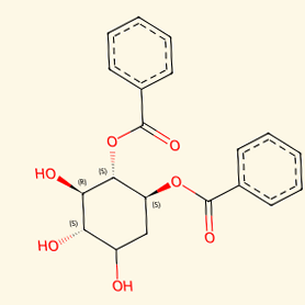 O=C(O[C@H]1[C@H](O)[C@@H](O)C(O)C[C@@H]1OC(=O)c1ccccc1)c1ccccc1